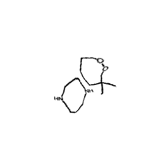 C1CNCCN1.CC1(C)CCCOO1